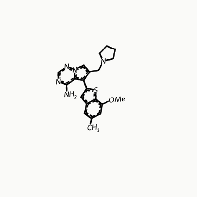 COc1cc(C)cc2cc(-c3c(CN4CCCC4)cn4ncnc(N)c34)sc12